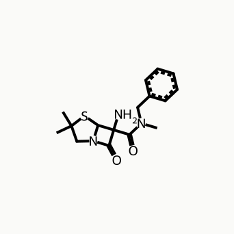 CN(Cc1ccccc1)C(=O)C1(N)C(=O)N2CC(C)(C)SC21